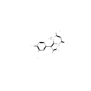 COc1ccc(-c2c(C)nn3c(=O)cc(O)[nH]c23)cc1OC